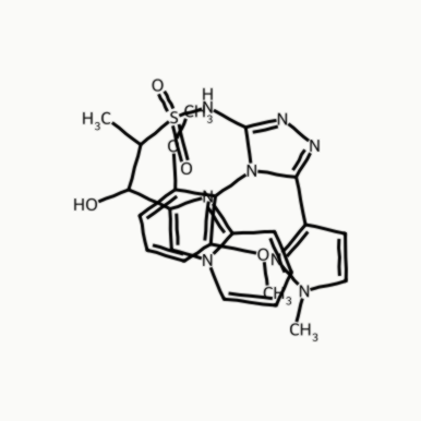 COc1cccc(OC)c1-n1c(NS(=O)(=O)C(C)C(O)c2cn3ccccc3n2)nnc1-c1ccn(C)n1